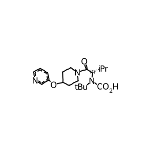 CC(C)[C@@H](C(=O)N1CCC(Oc2cccnc2)CC1)N(C(=O)O)C(C)(C)C